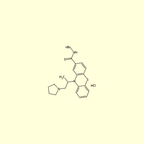 CCCCNC(=S)c1ccc2c(c1)N(C(C)CN1CCCC1)c1ccccc1S2.Cl